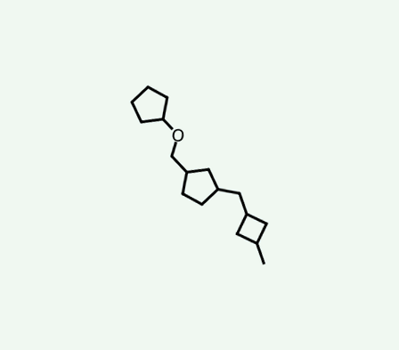 CC1CC(CC2CCC(COC3CCCC3)C2)C1